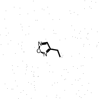 [CH2]Cc1cnon1